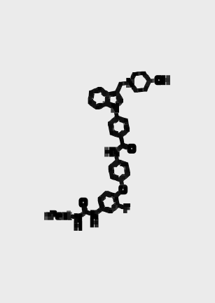 CCCCCNC(=O)Nc1ccc(Oc2ccc(NC(=O)c3ccc(-n4cc(CN5CCC(O)CC5)c5ccccc54)cc3)cc2)c(F)c1